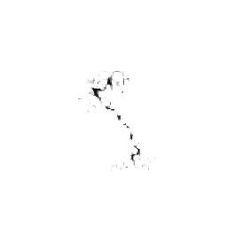 CC(C)C(=O)NCC(F)C(C)OCCOCCOCCOCCOCCC(C)C(=O)C(C)C